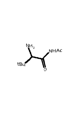 CC(=O)NC(=O)C(N)C(C)(C)C